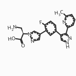 Cc1cccc(-c2n[nH]cc2-c2ccc(F)c(-c3cnn([C@H](CN)C(=O)O)c3)c2)n1